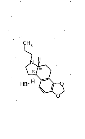 Br.CCCN1CC[C@@H]2c3ccc4c(c3CC[C@H]21)OCO4